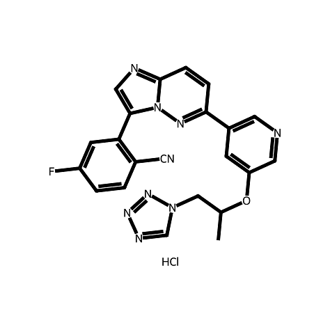 CC(Cn1cnnn1)Oc1cncc(-c2ccc3ncc(-c4cc(F)ccc4C#N)n3n2)c1.Cl